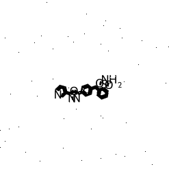 NS(=O)(=O)c1ccccc1Cc1ccc(-c2nnc(-c3cccnc3)o2)cc1